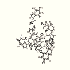 Cn1c(=O)c2c(CC(=O)/N=c3\scc(-c4ccc(F)c(C(F)(F)F)c4F)n3COP(=O)(OCn3c(-c4ccc(F)c(C(F)(F)F)c4F)cs/c3=N\C(=O)Cc3csc4c3c(=O)n(C)c(=O)n4C)OCn3c(-c4ccc(F)c(C(F)(F)F)c4F)cs/c3=N\C(=O)Cc3csc4c3c(=O)n(C)c(=O)n4C)csc2n(C)c1=O